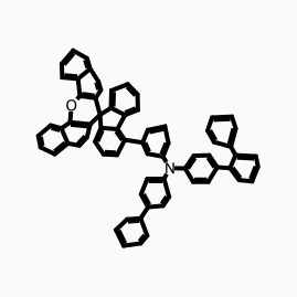 c1ccc(-c2ccc(N(c3ccc(-c4ccccc4-c4ccccc4)cc3)c3cccc(-c4cccc5c4-c4ccccc4C54c5ccc6ccccc6c5Oc5c4ccc4ccccc54)c3)cc2)cc1